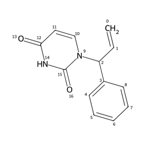 C=CC(c1ccccc1)n1ccc(=O)[nH]c1=O